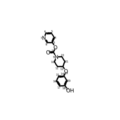 O=C(Oc1cccnc1)N1CCC(Oc2cccc(O)c2)CC1